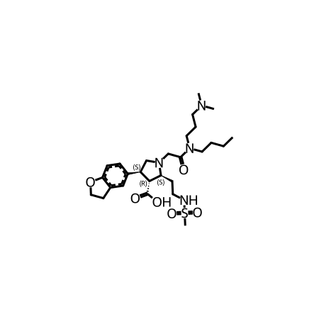 CCCCN(CCCN(C)C)C(=O)CN1C[C@H](c2ccc3c(c2)CCO3)[C@@H](C(=O)O)[C@@H]1CCNS(C)(=O)=O